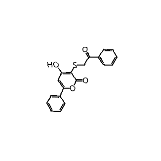 O=C(CSc1c(O)cc(-c2ccccc2)oc1=O)c1ccccc1